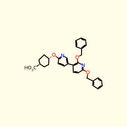 O=C(O)[C@H]1CC[C@H](Oc2ccc(-c3ccc(OCc4ccccc4)nc3OCc3ccccc3)cn2)CC1